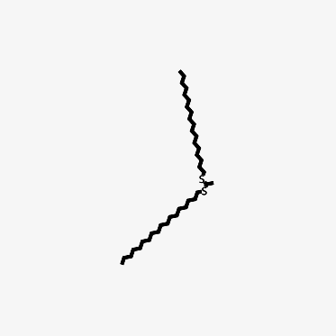 CCCCCCCCCCCCCCCCCCSC(C)SCCCCCCCCCCCCCCCCCC